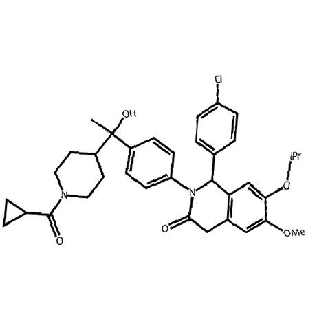 COc1cc2c(cc1OC(C)C)C(c1ccc(Cl)cc1)N(c1ccc(C(C)(O)C3CCN(C(=O)C4CC4)CC3)cc1)C(=O)C2